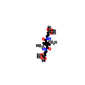 CCO[Si](CCCNC(=O)C1C(C)(C(=O)O)C(C(=O)NCCC[Si](OCC)(OCC)OCC)C1(C)C(=O)O)(OCC)OCC